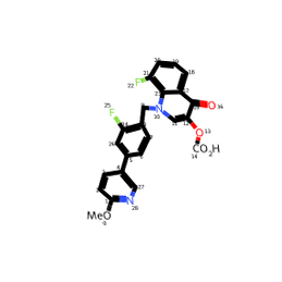 COc1ccc(-c2ccc(Cn3cc(OC(=O)O)c(=O)c4cccc(F)c43)c(F)c2)cn1